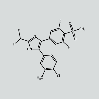 Cc1cc(-c2[nH]c(C(F)F)nc2-c2cc(F)c(S(C)(=O)=O)c(F)c2)ccc1Cl